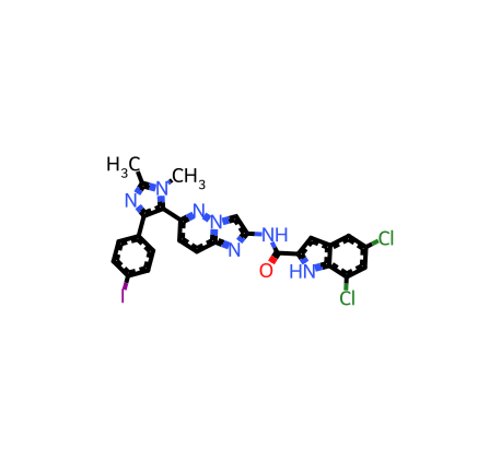 Cc1nc(-c2ccc(I)cc2)c(-c2ccc3nc(NC(=O)c4cc5cc(Cl)cc(Cl)c5[nH]4)cn3n2)n1C